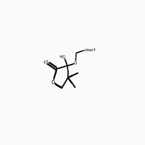 CCCCCCCCOC1(O)C(=O)OCC1(C)C